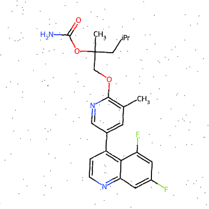 Cc1cc(-c2ccnc3cc(F)cc(F)c23)cnc1OCC(C)(CC(C)C)OC(N)=O